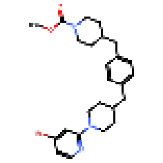 CC(C)(C)OC(=O)N1CCC(Cc2ccc(CC3CCN(c4cc(Br)ccn4)CC3)cc2)CC1